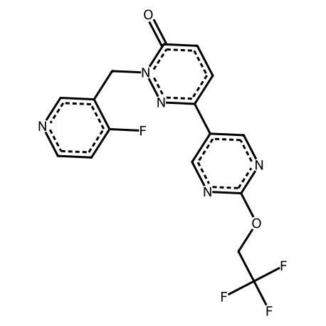 O=c1ccc(-c2cnc(OCC(F)(F)F)nc2)nn1Cc1cnccc1F